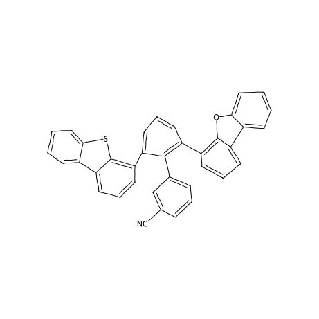 N#Cc1cccc(-c2c(-c3cccc4c3oc3ccccc34)cccc2-c2cccc3c2sc2ccccc23)c1